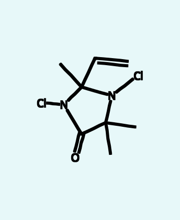 C=CC1(C)N(Cl)C(=O)C(C)(C)N1Cl